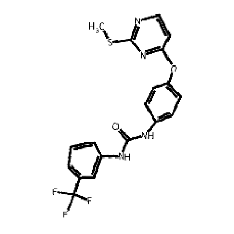 CSc1nccc(Oc2ccc(NC(=O)Nc3cccc(C(F)(F)F)c3)cc2)n1